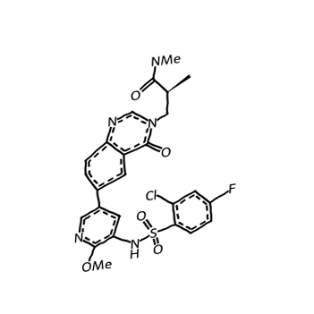 CNC(=O)[C@@H](C)Cn1cnc2ccc(-c3cnc(OC)c(NS(=O)(=O)c4ccc(F)cc4Cl)c3)cc2c1=O